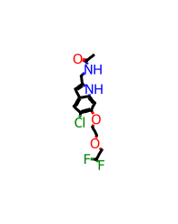 CC(=O)NCc1cc2cc(Cl)c(OCCOCC(F)F)cc2[nH]1